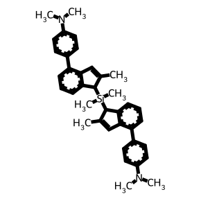 CC1=Cc2c(-c3ccc(N(C)C)cc3)cccc2C1[Si](C)(C)C1C(C)=Cc2c(-c3ccc(N(C)C)cc3)cccc21